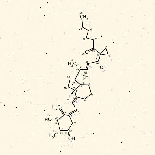 C=C1/C(=C\C=C2/CCC[C@]3(C)[C@@H]([C@H](C)/C=C/[C@@H](O)C4(C(=O)CCCCC)CC4)CC[C@@H]23)C[C@@H](O)[C@H](C)[C@@H]1O